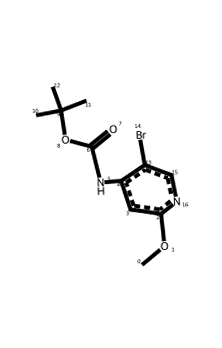 COc1cc(NC(=O)OC(C)(C)C)c(Br)cn1